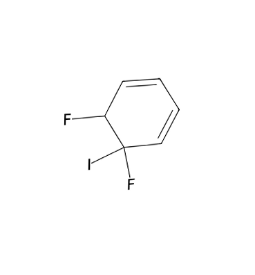 FC1C=CC=CC1(F)I